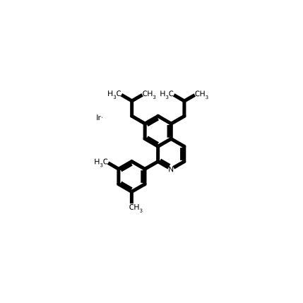 Cc1cc(C)cc(-c2nccc3c(CC(C)C)cc(CC(C)C)cc23)c1.[Ir]